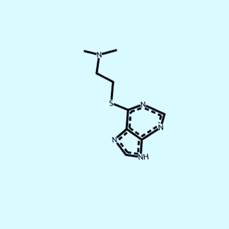 CN(C)CCSc1ncnc2[nH]cnc12